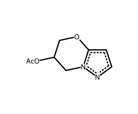 CC(=O)OC1COc2ccnn2C1